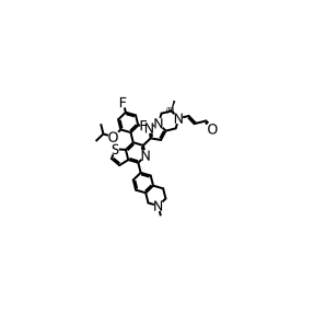 CC(C)Oc1cc(F)cc(F)c1-c1c(-c2cc3n(n2)C[C@@H](C)N(C=CC=O)C3)nc(-c2ccc3c(c2)CCN(C)C3)c2ccsc12